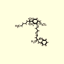 CCCCCC(C)(C)c1ccc(C)c(OCCOCC[N+](C)(C)Cc2ccccc2)c1.[Cl-]